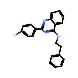 Clc1ccc(-c2nc(NCCc3ccccc3)c3ccccc3n2)cc1